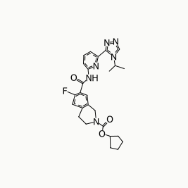 CC(C)n1cnnc1-c1cccc(NC(=O)c2cc3c(cc2F)CCN(C(=O)OC2CCCC2)C3)n1